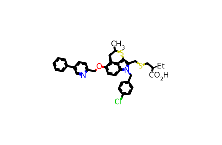 CC[C@H](CSCc1c2c3c(c(OCc4ccc(-c5ccccc5)cn4)ccc3n1Cc1ccc(Cl)cc1)CC(C)S2)C(=O)O